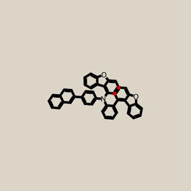 c1ccc(N(c2ccc(-c3ccc4ccccc4c3)cc2)c2cccc3oc4ccccc4c23)c(-c2cccc3oc4ccccc4c23)c1